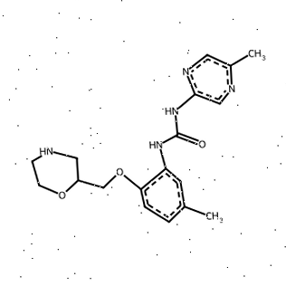 Cc1ccc(OCC2CNCCO2)c(NC(=O)Nc2cnc(C)cn2)c1